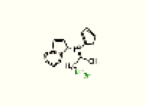 C[C](C)=[Hf+2]([C]1=CC=CC1)[CH]1C=Cc2ccccc21.[Br-].[Br-]